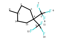 CC1CCC(C(F)(F)F)(C(F)(F)F)CC1